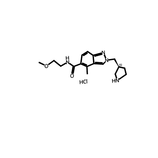 COCCNC(=O)c1ccc2nn(C[C@H]3CCNC3)cc2c1C.Cl